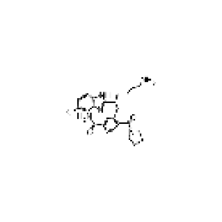 NCCCC[C@@H](Cc1cc(C(N)=O)ccc1C(=O)N1CCCC1)c1nc2cc(Cl)ccc2[nH]1